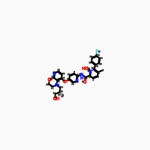 Cc1ccc(C(=O)Nc2ccc(Oc3ccnc4c3N(C[C@H](C)CO)CCO4)cn2)[n+](O)c1-c1ccc(F)cc1